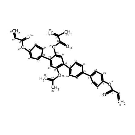 C=CC(=O)Oc1ccc(-c2ccc(-c3cc(OC(=O)C(=C)C)c(-c4ccc(OC(=O)C=C)cc4)cc3OC(=C)C)cc2)cc1